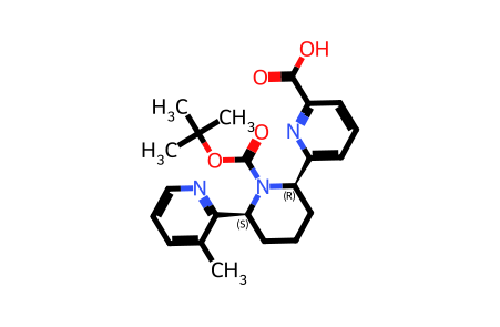 Cc1cccnc1[C@@H]1CCC[C@H](c2cccc(C(=O)O)n2)N1C(=O)OC(C)(C)C